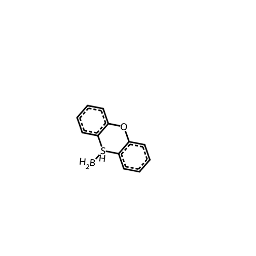 B[SH]1c2ccccc2Oc2ccccc21